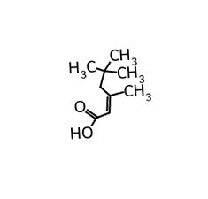 CC(=CC(=O)O)CC(C)(C)C